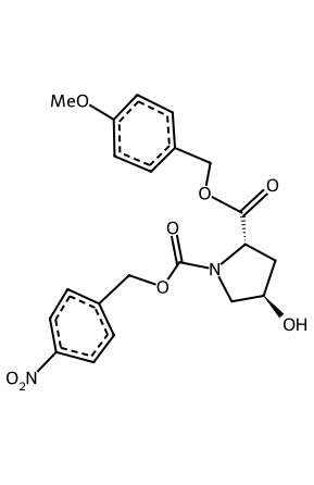 COc1ccc(COC(=O)[C@@H]2C[C@@H](O)CN2C(=O)OCc2ccc([N+](=O)[O-])cc2)cc1